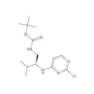 CC(C)[C@@H](CNC(=O)OC(C)(C)C)Nc1ccnc(Cl)n1